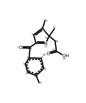 CC1=CC(C(=O)c2ccc(C)cc2)=NC1(C)CC(=O)O